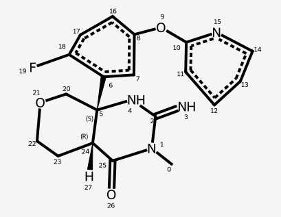 CN1C(=N)N[C@@]2(c3cc(Oc4ccccn4)ccc3F)COCC[C@H]2C1=O